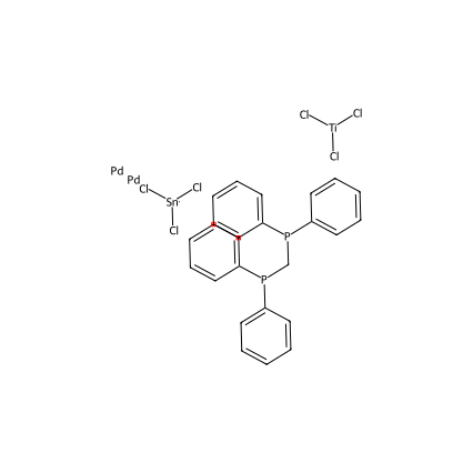 [Cl][Sn]([Cl])[Cl].[Cl][Ti]([Cl])[Cl].[Pd].[Pd].c1ccc(P(CP(c2ccccc2)c2ccccc2)c2ccccc2)cc1